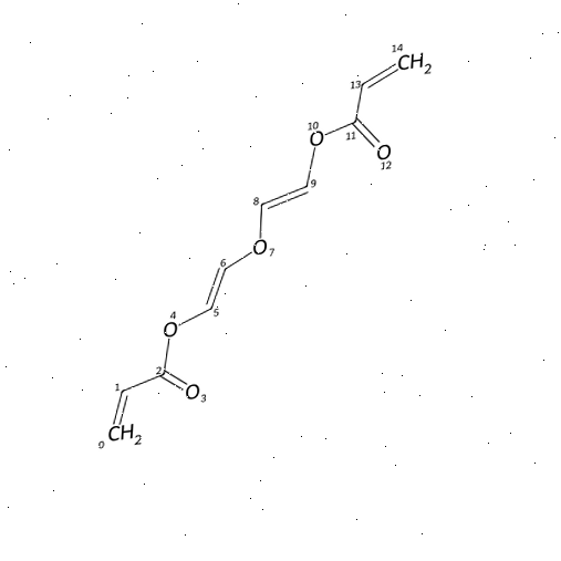 C=CC(=O)OC=COC=COC(=O)C=C